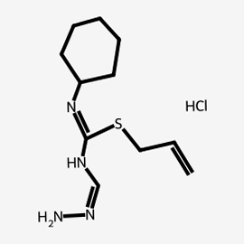 C=CCS/C(=N\C1CCCCC1)N/C=N\N.Cl